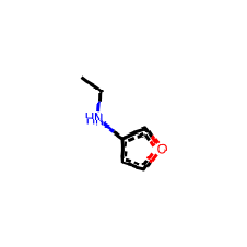 CCNc1ccoc1